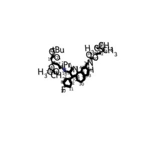 CC(C)c1nc2c(c(-c3ccc(F)cc3)c1/C=C/[C@@H]1C[C@H](CC(=O)OC(C)(C)C)OC(C)(C)O1)CCCc1ccc(CNC(=O)OCC[Si](C)(C)C)cc1-2